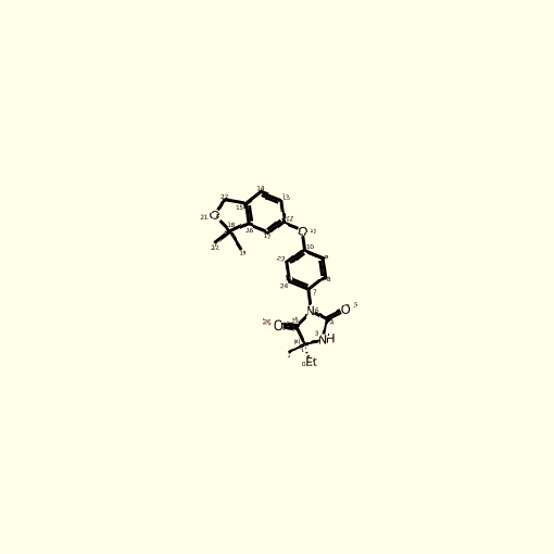 CC[C@@]1(C)NC(=O)N(c2ccc(Oc3ccc4c(c3)C(C)(C)OC4)cc2)C1=O